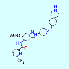 COc1cc2nn(C3CCN(CC4CCC5(CCNCC5)CC4)CC3)cc2cc1NC(=O)c1cccc(C(F)(F)F)n1